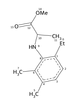 CCc1ccc(C)c(C)c1NC(C)C(=O)OC